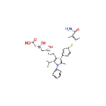 CC=C(C)C(N)=O.Cc1c(-c2ccc(F)cc2)c(CC[C@@H](O)C[C@@H](O)CC(=O)O)c(C(C)C)n1-c1ccccc1